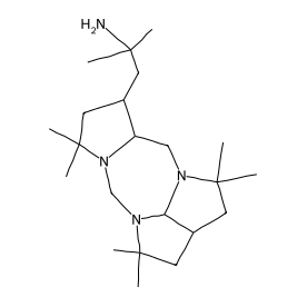 CC(C)(N)CC1CC(C)(C)N2CN3C4C(CC(C)(C)N4CC12)CC3(C)C